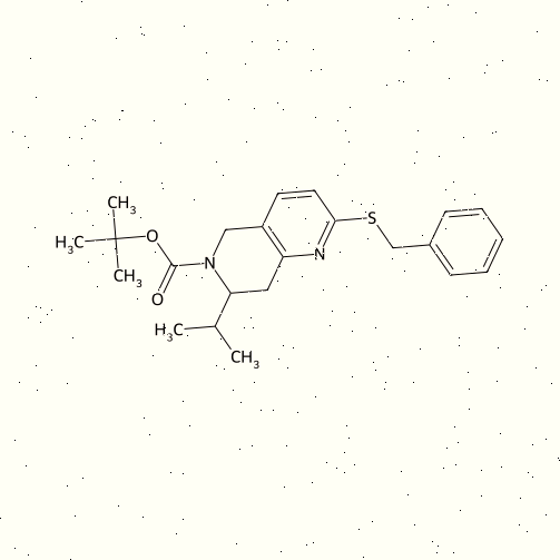 CC(C)C1Cc2nc(SCc3ccccc3)ccc2CN1C(=O)OC(C)(C)C